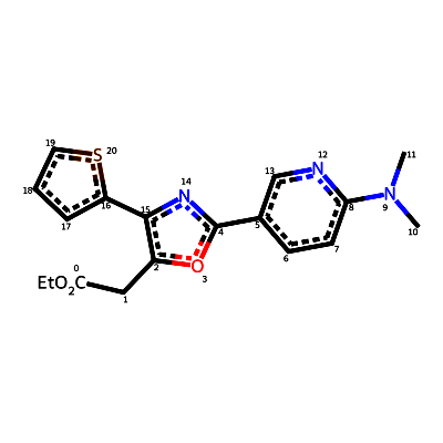 CCOC(=O)Cc1oc(-c2ccc(N(C)C)nc2)nc1-c1cccs1